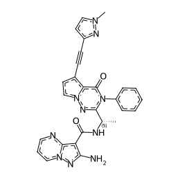 C[C@H](NC(=O)c1c(N)nn2cccnc12)c1nn2ccc(C#Cc3ccn(C)n3)c2c(=O)n1-c1ccccc1